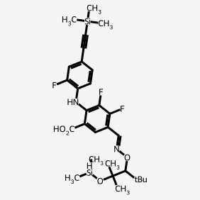 C[SiH](C)OC(C)(C)C(ON=Cc1cc(C(=O)O)c(Nc2ccc(C#C[Si](C)(C)C)cc2F)c(F)c1F)C(C)(C)C